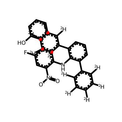 [2H]c1c([2H])c([2H])c(-c2cccc(-c3c([2H])c([2H])c([2H])c([2H])c3[2H])c2Nc2cc(-c3ccccc3O)c(F)cc2[N+](=O)[O-])c([2H])c1[2H]